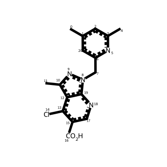 Cc1cc(C)nc(Cn2nc(C)c3c(Cl)c(C(=O)O)cnc32)c1